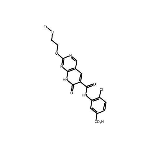 CCOCCOc1ncc2cc(C(=O)Nc3cc(C(=O)O)ccc3Cl)c(=O)[nH]c2n1